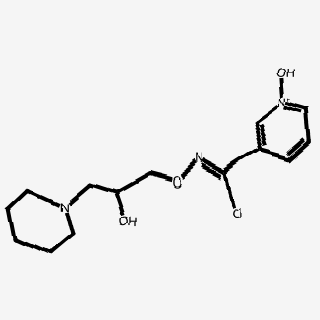 OC(CO/N=C(\Cl)c1ccc[n+](O)c1)CN1CCCCC1